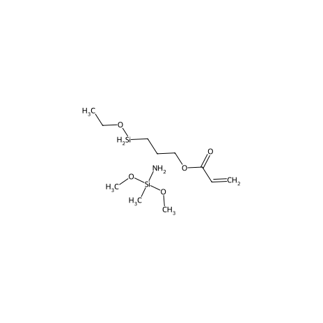 C=CC(=O)OCCC[SiH2]OCC.CO[Si](C)(N)OC